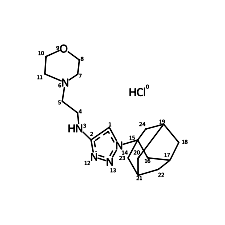 Cl.c1c(NCCN2CCOCC2)nnn1C12CC3CC(CC(C3)C1)C2